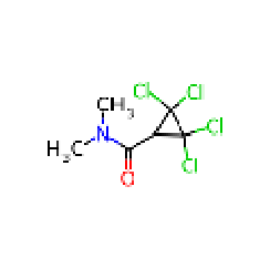 CN(C)C(=O)C1C(Cl)(Cl)C1(Cl)Cl